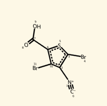 [C-]#[N+]c1c(Br)sc(C(=O)O)c1Br